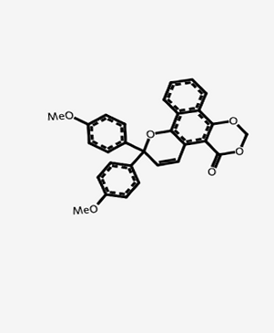 COc1ccc(C2(c3ccc(OC)cc3)C=Cc3c4c(c5ccccc5c3O2)OCOC4=O)cc1